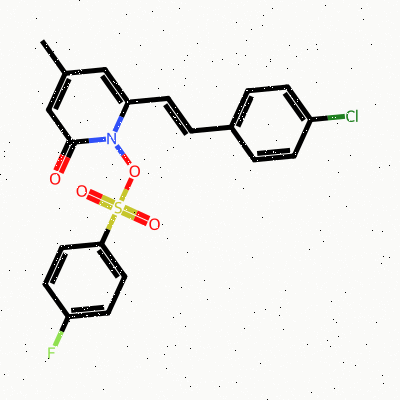 Cc1cc(C=Cc2ccc(Cl)cc2)n(OS(=O)(=O)c2ccc(F)cc2)c(=O)c1